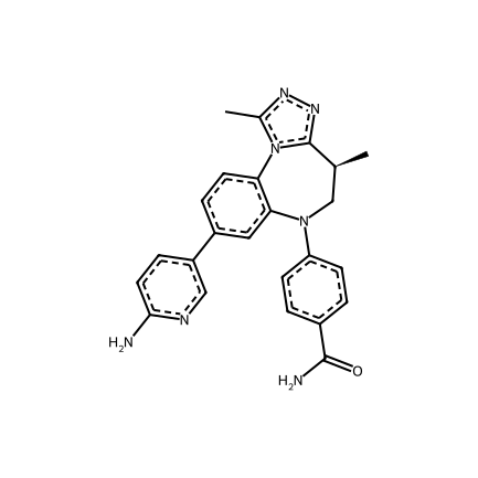 Cc1nnc2n1-c1ccc(-c3ccc(N)nc3)cc1N(c1ccc(C(N)=O)cc1)C[C@@H]2C